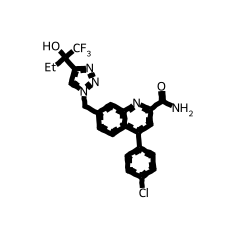 CCC(O)(c1cn(Cc2ccc3c(-c4ccc(Cl)cc4)cc(C(N)=O)nc3c2)nn1)C(F)(F)F